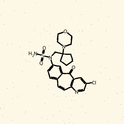 NS(=O)(=O)N(CC1(N2CCOCC2)CCCC1)c1ccc2ccc3ncc(Cl)cc3c(=O)c2c1